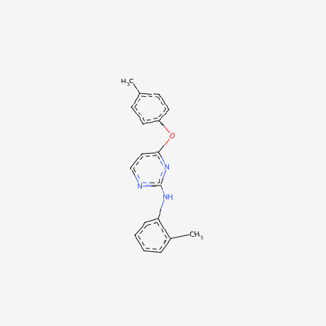 Cc1ccc(Oc2ccnc(Nc3ccccc3C)n2)cc1